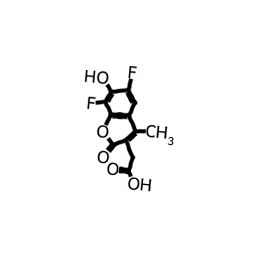 Cc1c(CC(=O)O)c(=O)oc2c(F)c(O)c(F)cc12